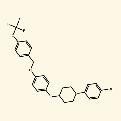 Oc1ccc(N2CCC(Oc3ccc(OCc4ccc(OC(F)(F)F)cc4)cc3)CC2)cc1